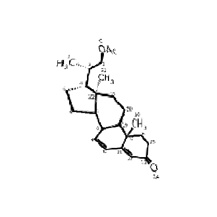 CC(=O)OC[C@@H](C)[C@H]1CCC2C3C=CC4=CC(=O)CC[C@@]4(C)C3CC[C@@]21C